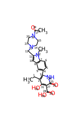 CCc1c(-c2ccc3c(c2)cc(CN2CCN(C(C)=O)CC2)n3C)[nH]c(=O)c(C(=O)O)c1O